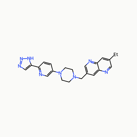 CCc1cnc2cc(CN3CCN(c4ccc(-c5cnn[nH]5)nc4)CC3)cnc2c1